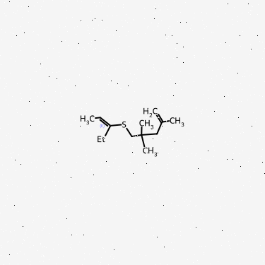 C=C(C)CC(C)(C)CS/C(=C/C)CC